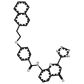 O=C(Nc1cccc2c(=O)cc(-c3nnn[nH]3)oc12)c1ccc(OCCc2ccc3ccccc3c2)cc1